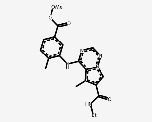 CCNC(=O)c1cn2ncnc(Nc3cc(C(=O)OOC)ccc3C)c2c1C